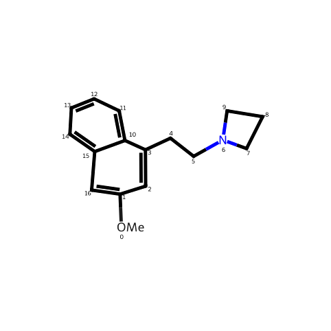 COc1cc(CCN2CCC2)c2ccccc2c1